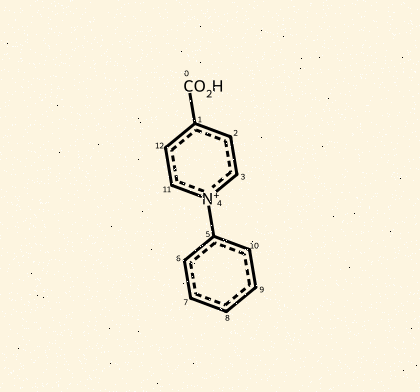 O=C(O)c1cc[n+](-c2ccccc2)cc1